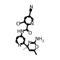 CC1=C[C@@](C)(c2cc(NC(=O)c3ncc(C#N)cc3Cl)ccn2)N=C(N)O1